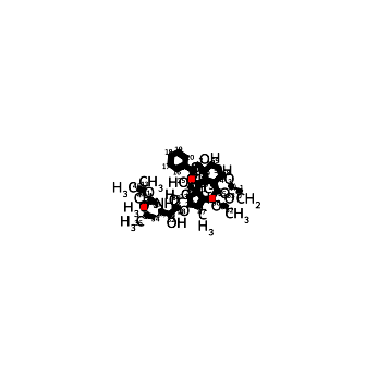 C=C[C@@H]1O[C@H]2C[C@H]3OC[C@H]3[C@H]3[C@H](OC(=O)c4ccccc4)[C@@]4(C(C)(C)O)C[C@H](OC(=O)[C@H](O)[C@H](CC(C)C)NC(=O)OC(C)(C)C)C(C)=C4[C@H](OC(C)=O)[C@H](O1)[C@@]32C